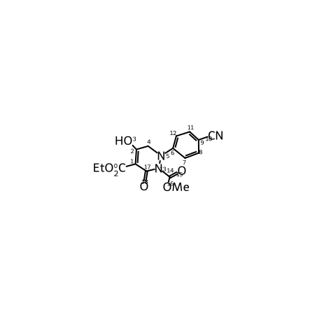 CCOC(=O)C1=C(O)CN(c2ccc(C#N)cc2)N(C(=O)OC)C1=O